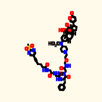 C[C@]12CC[C@H](N(C(=O)O)C3CCN(CCOCNC(=O)CNC(=O)[C@H](Cc4ccccc4)NC(=O)CNC(=O)CNC(=O)CCCC#Cc4cnc(S(C)(=O)=O)nc4)CC3)C[C@H]1CC[C@@H]1[C@@H]2[C@H](O)C(=O)[C@]2(C)[C@@H](c3ccc(=O)oc3)CC[C@]12O